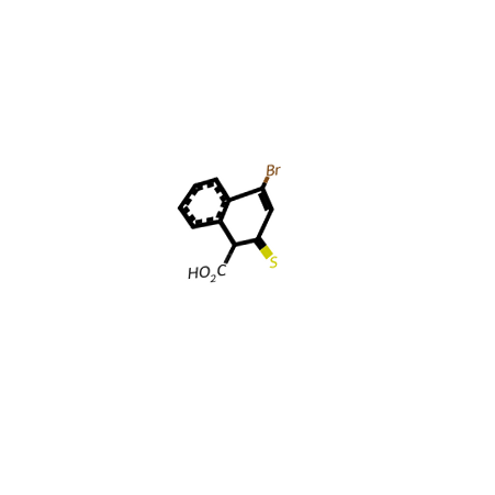 O=C(O)C1C(=S)C=C(Br)c2ccccc21